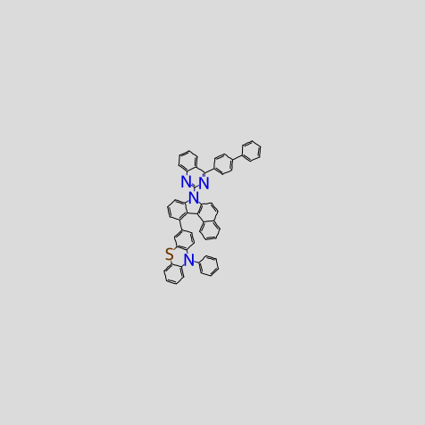 c1ccc(-c2ccc(-c3nc(-n4c5cccc(-c6ccc7c(c6)Sc6ccccc6N7c6ccccc6)c5c5c6ccccc6ccc54)nc4ccccc34)cc2)cc1